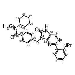 CC(C)c1ccccc1-c1ncc2[nH]c(=O)n(Cc3ccc(C(=O)N(C)C4CCCCC4)cc3)c2n1